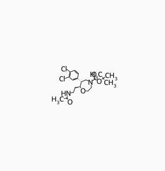 CC(=O)NCC[C@@H]1OCCN(C(=O)OC(C)(C)C)C[C@H]1c1ccc(Cl)c(Cl)c1